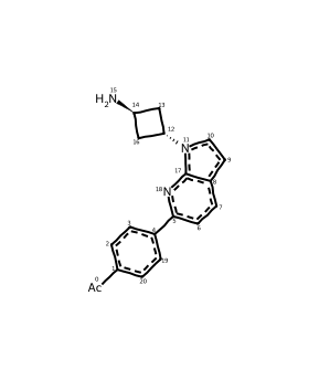 CC(=O)c1ccc(-c2ccc3ccn([C@H]4C[C@H](N)C4)c3n2)cc1